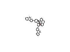 CC1(C)c2ccccc2-c2ccc(-c3ccc4c(c3)c3cc(-c5ccc6c(c5)C(C)(C)c5ccccc5-6)ccc3n4-c3cccc4ccc5cccnc5c34)cc21